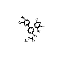 CC(=O)c1ncc(-c2ccc(NC(=O)OC(C)(C)C)cc2)nc1Cl.CC(=O)c1ncc(Cl)nc1Cl